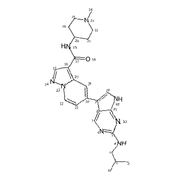 CC(C)CNc1ncc2c(-c3ccn4ncc(C(=O)NC5CCN(C)CC5)c4c3)c[nH]c2n1